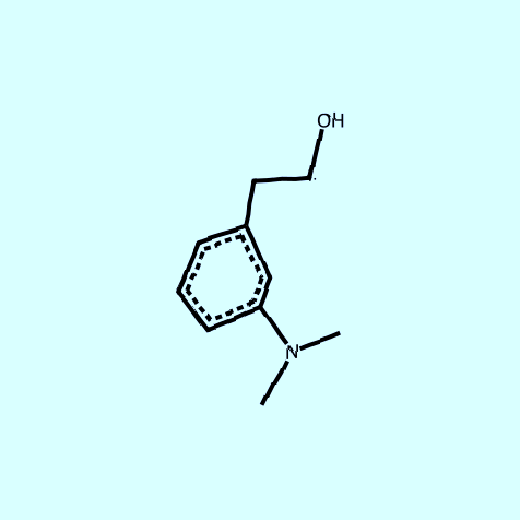 CN(C)c1cccc(C[CH]O)c1